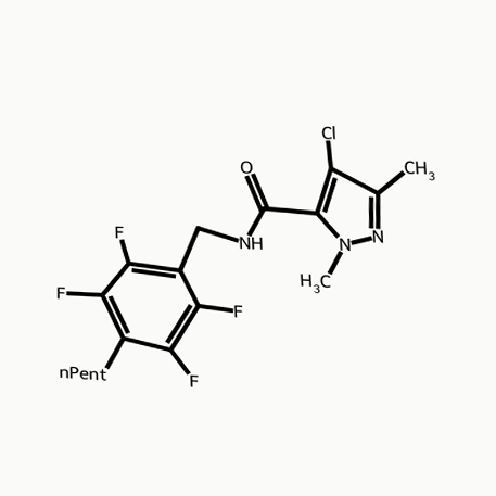 CCCCCc1c(F)c(F)c(CNC(=O)c2c(Cl)c(C)nn2C)c(F)c1F